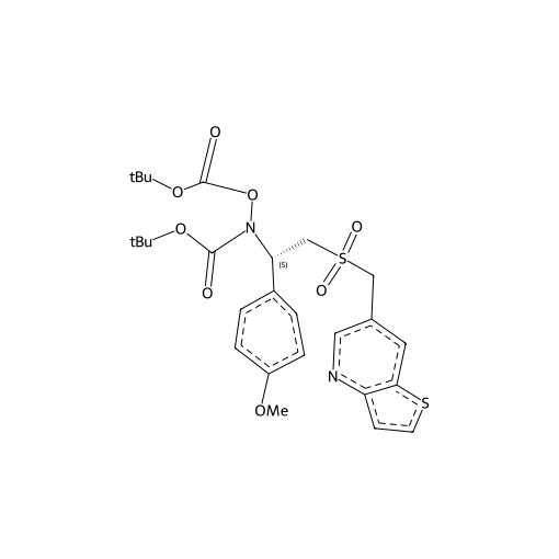 COc1ccc([C@@H](CS(=O)(=O)Cc2cnc3ccsc3c2)N(OC(=O)OC(C)(C)C)C(=O)OC(C)(C)C)cc1